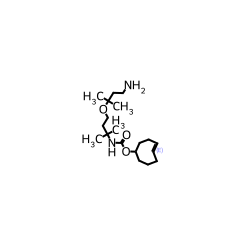 CC(C)(CCOC(C)(C)CCN)NC(=O)OC1CC/C=C/CCC1